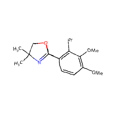 COc1ccc(C2=NC(C)(C)CO2)c(C(C)C)c1OC